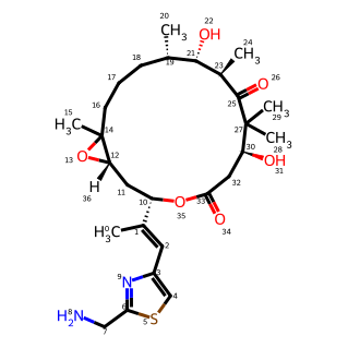 CC(=Cc1csc(CN)n1)[C@@H]1C[C@@H]2OC2(C)CCC[C@H](C)[C@H](O)[C@@H](C)C(=O)C(C)(C)[C@@H](O)CC(=O)O1